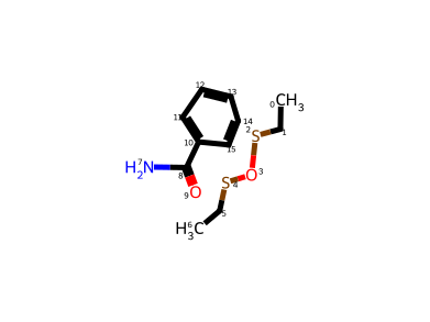 CCSOSCC.NC(=O)c1ccccc1